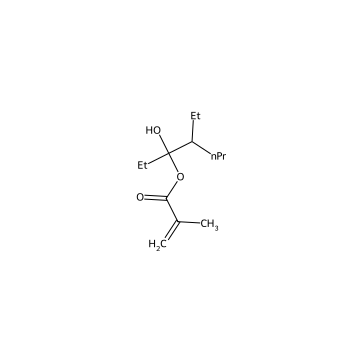 C=C(C)C(=O)OC(O)(CC)C(CC)CCC